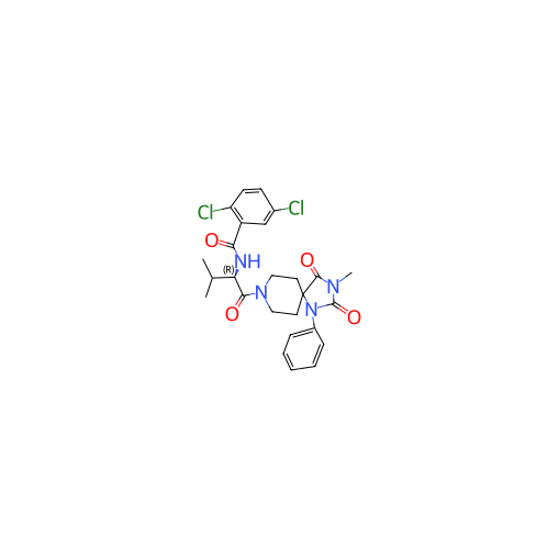 CC(C)[C@@H](NC(=O)c1cc(Cl)ccc1Cl)C(=O)N1CCC2(CC1)C(=O)N(C)C(=O)N2c1ccccc1